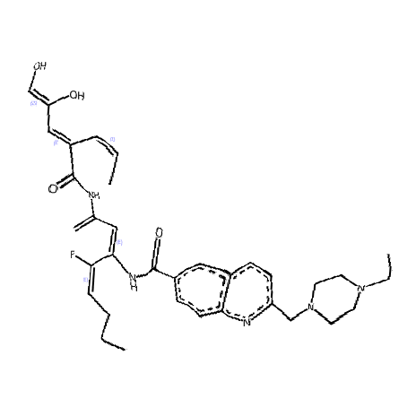 C=C(/C=C(NC(=O)c1ccc2nc(CN3CCN(CC)CC3)ccc2c1)\C(F)=C/CCC)NC(=O)C(/C=C\C)=C/C(O)=C/O